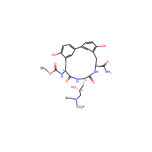 CC(C)(C)OC(=O)N[C@H]1Cc2cc(ccc2O)-c2ccc(O)c(c2)C[C@@H](C(N)=O)NC(=O)[C@H](C[C@@H](O)CN(C(=O)O)C(C)(C)C)NC1=O